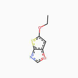 CCOc1cc2ocnc2s1